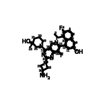 CCc1c(F)ccc2cc(O)cc(-c3ncc4c(N5CCC[C@@](C)(O)C5)nc(N5CC(N)C5)nc4c3F)c12